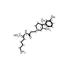 C[C@H]1CN(CCC(=O)N[C@@H](CCCCN)C(=O)O)CC[C@@]1(C)c1cccc(O)c1